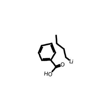 O=C(O)c1ccccc1.[Li][CH2]CCC